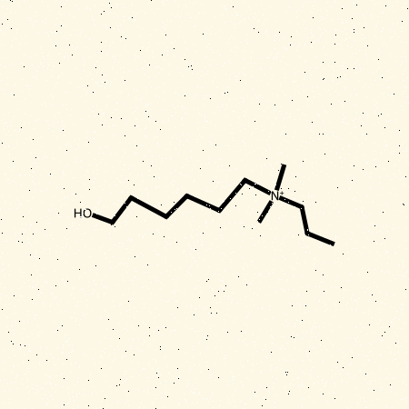 CCC[N+](C)(C)CCCCCCO